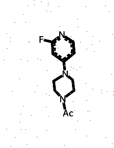 CC(=O)N1CCN(c2ccnc(F)c2)CC1